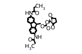 CCC(=O)Nc1ccc2c(c1)C(COC(=O)ON1C(=O)CCC1=O)c1cc(NC(=O)CC)ccc1-2